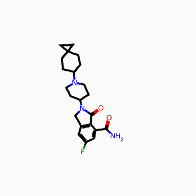 NC(=O)c1cc(F)cc2c1C(=O)N(C1CCN(C3CCC4(CC3)CC4)CC1)C2